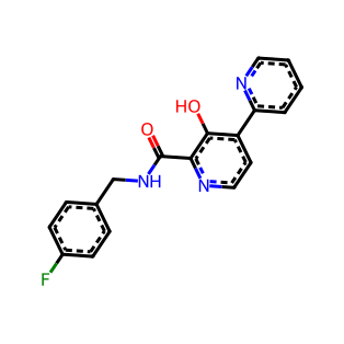 O=C(NCc1ccc(F)cc1)c1nccc(-c2ccccn2)c1O